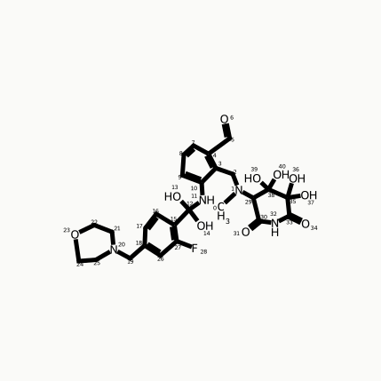 CN(Cc1c(C=O)cccc1NC(O)(O)c1ccc(CN2CCOCC2)cc1F)C1C(=O)NC(=O)C(O)(O)C1(O)O